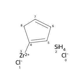 [Cl-].[Cl-].[SiH4].[Zr+2][C]1=CC=CC1